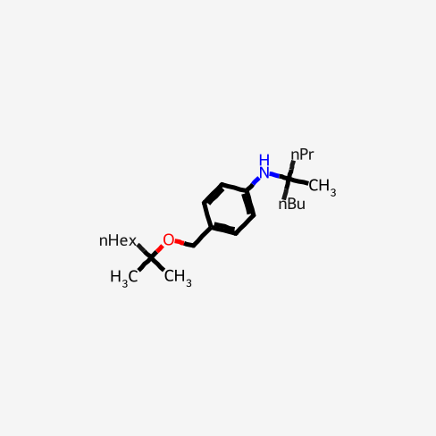 CCCCCCC(C)(C)OCc1ccc(NC(C)(CCC)CCCC)cc1